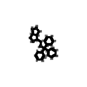 c1ccc(C(OCC2OCC3=NOCC32)(c2ccccc2)c2ccccc2)cc1